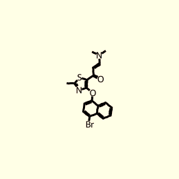 Cc1nc(Oc2ccc(Br)c3ccccc23)c(C(=O)/C=C/N(C)C)s1